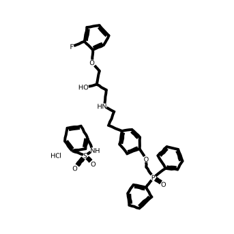 Cl.O=P(COc1ccc(CCNCC(O)COc2ccccc2F)cc1)(c1ccccc1)c1ccccc1.O=S1(=O)Nc2cccc1c2